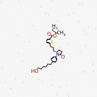 CC(C)OC(=O)c1ccc(CCC[C@H]2CCC(=O)N2c2ccc(CCCCCCO)cc2)s1